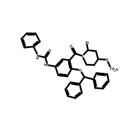 CCC1CC(OC(=O)O)CCN1C(=O)c1cc(NC(=O)Nc2ccccc2)ccc1OC(c1ccccc1)c1ccccc1